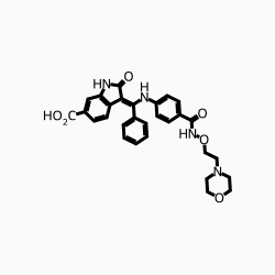 O=C1Nc2cc(C(=O)O)ccc2/C1=C(/Nc1ccc(C(=O)NOCCN2CCOCC2)cc1)c1ccccc1